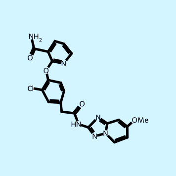 COc1ccn2nc(NC(=O)Cc3ccc(Oc4ncccc4C(N)=O)c(Cl)c3)nc2c1